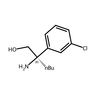 CCCC[C@](N)(CO)c1cccc(Cl)c1